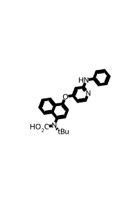 CC(C)(C)N(C(=O)O)c1ccc(Oc2ccnc(Nc3ccccc3)c2)c2ccccc12